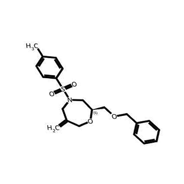 C=C1CO[C@H](COCc2ccccc2)CN(S(=O)(=O)c2ccc(C)cc2)C1